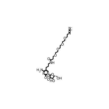 [N-]=[N+]=NCCOCCOCCOCCOCCC(=O)NCCCc1cn([C@@H]2O[C@H](CO)C(O)[C@@H]2O)c(=O)nc1N